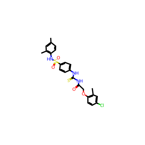 Cc1ccc(NS(=O)(=O)c2ccc(NC(=S)NC(=O)COc3ccc(Cl)cc3C)cc2)c(C)c1